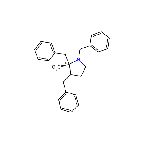 O=C(O)[C@]1(Cc2ccccc2)C(Cc2ccccc2)CCN1Cc1ccccc1